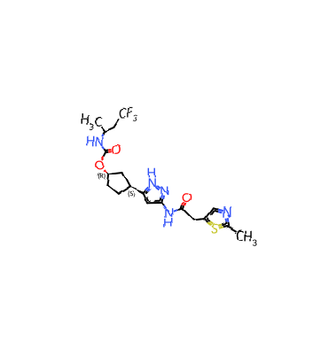 Cc1ncc(CC(=O)Nc2cc([C@H]3CC[C@@H](OC(=O)NC(C)CC(F)(F)F)C3)[nH]n2)s1